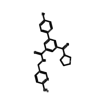 Cc1ccc(CNC(=O)c2cc(C(=O)N3CCCC3)cc(-c3ccc(Br)cc3)c2)cn1